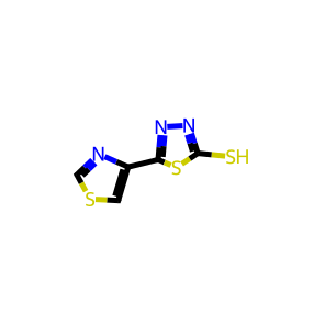 Sc1nnc(-c2cscn2)s1